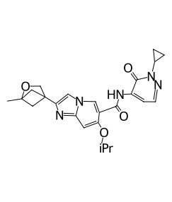 CC(C)Oc1cc2nc(C34COC(C)(C3)C4)cn2cc1C(=O)Nc1ccnn(C2CC2)c1=O